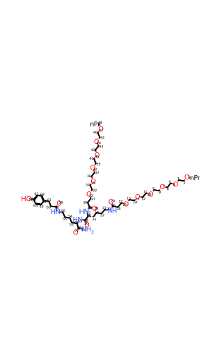 CCCOCCOCCOCCOCCOCCOCCC(=O)NCCCC[C@@H](NC(=O)CCOCCOCCOCCOCCOCCOCCC)C(=O)NC(CCCCNC(=O)CCc1ccc(O)cc1)C(N)=O